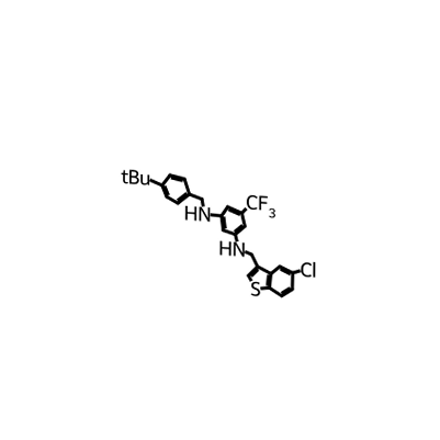 CC(C)(C)c1ccc(CNc2cc(NCc3csc4ccc(Cl)cc34)cc(C(F)(F)F)c2)cc1